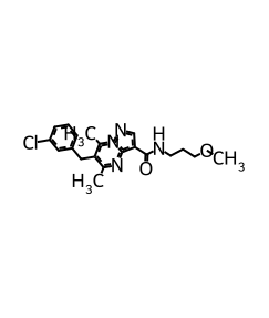 COCCCNC(=O)c1cnn2c(C)c(Cc3cccc(Cl)c3)c(C)nc12